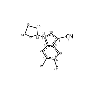 Cc1cc2c(cc1F)c(C#N)cn2C1CCCC1